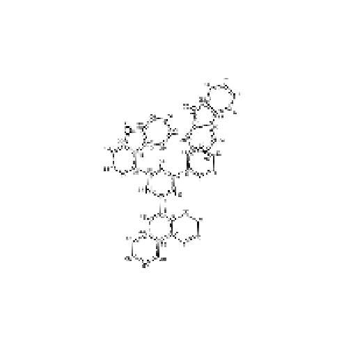 C1=Cc2c(c(-c3nc(-c4ccccc4)nc(-c4cccc5oc6ccc(-c7cccc8c7sc7ccccc78)cc6c45)n3)cc3ccccc23)CC1